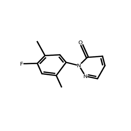 Cc1cc(-n2ncccc2=O)c(C)cc1F